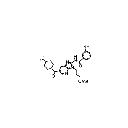 COCCCn1c(NC(=O)c2cccc(N)c2)nc2cc(C(=O)N3CCC(C)CC3)cnc21